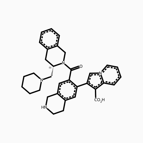 O=C(O)c1c(-c2cc3c(cc2C(=O)N2Cc4ccccc4C[C@H]2CN2CCCCC2)CNCC3)cn2ccccc12